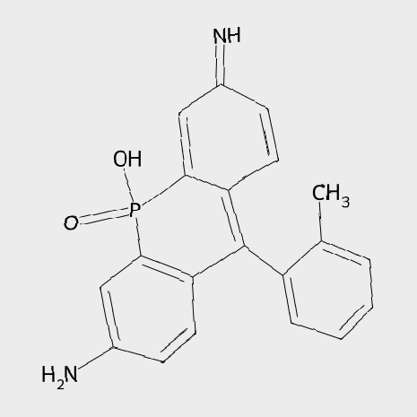 Cc1ccccc1C1=C2C=CC(=N)C=C2P(=O)(O)c2cc(N)ccc21